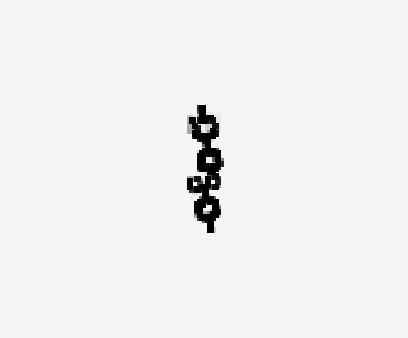 Cc1ccc(C(=O)Oc2ccc(-c3cnc(C)nc3)cc2)cc1